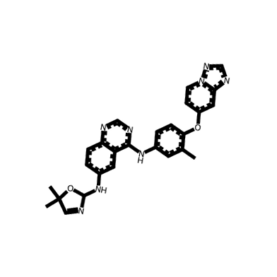 Cc1cc(Nc2ncnc3ccc(NC4N=CC(C)(C)O4)cc23)ccc1Oc1ccn2ncnc2c1